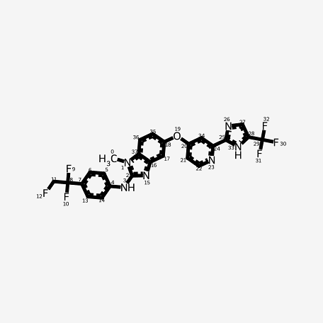 Cn1c(Nc2ccc(C(F)(F)CF)cc2)nc2cc(Oc3ccnc(-c4ncc(C(F)(F)F)[nH]4)c3)ccc21